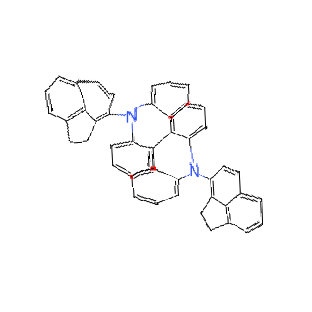 c1ccc(N(c2ccccc2-c2ccccc2N(c2ccccc2)c2ccc3cccc4c3c2CC4)c2ccc3cccc4c3c2CC4)cc1